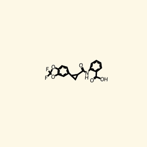 O=C(O)c1ccccc1NC(=O)C1CC1c1ccc2c(c1)OC(F)(F)O2